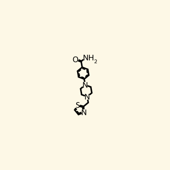 NC(=O)c1ccc(N2CCN(Cc3nccs3)CC2)cc1